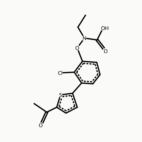 CCN(Oc1cccc(-c2ccc(C(C)=O)s2)c1Cl)C(=O)O